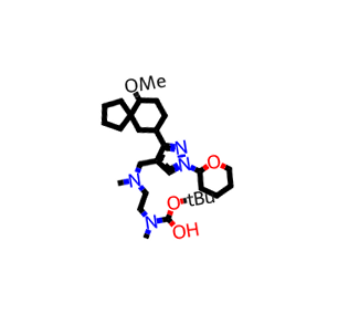 COC1CCC(c2nn(C3CCCCO3)cc2CN(C)CCN(C)C(O)OC(C)(C)C)CC12CCCC2